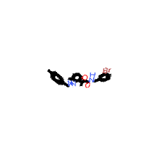 Cc1ccc(Cn2cc3c(n2)-c2c(oc(C(=O)NCc4cccc(Br)c4)c2C)CC3)cc1